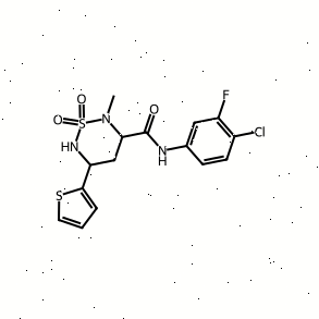 CN1C(C(=O)Nc2ccc(Cl)c(F)c2)CC(c2cccs2)NS1(=O)=O